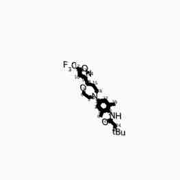 Cc1cc(N2CCOC(c3cc(C(F)(F)F)on3)CC2)cc(C)c1NC(=O)CC(C)(C)C